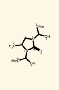 COC(O)N1CC(C)N(C(O)OC)C1=O